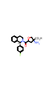 NC1(C(=O)O)COC(C(=O)N2CCc3ccccc3[C@@H]2c2ccc(F)cc2)C1